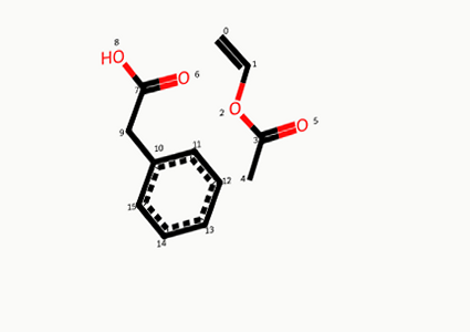 C=COC(C)=O.O=C(O)Cc1ccccc1